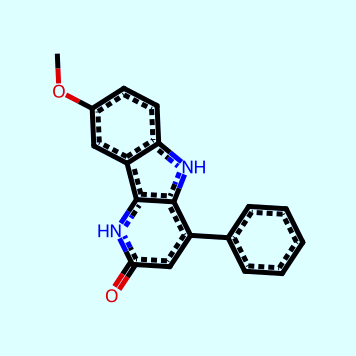 COc1ccc2[nH]c3c(-c4ccccc4)cc(=O)[nH]c3c2c1